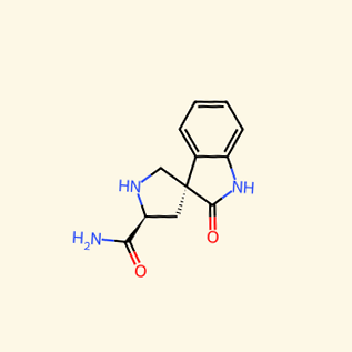 NC(=O)[C@@H]1C[C@@]2(CN1)C(=O)Nc1ccccc12